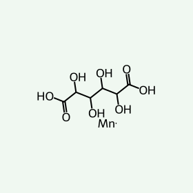 O=C(O)C(O)C(O)C(O)C(O)C(=O)O.[Mn]